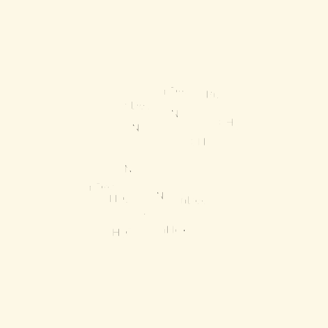 CCCCCCCCCCN(CN(CCCCCCCCCC)CN(CCCCCCCCCC)C(C)(C)CCCCCC)CN(CCCCCCCCCC)C(C)(C)CCCC